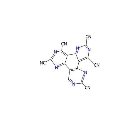 N#Cc1ncc2c(n1)c1c(C#N)nc(C#N)nc1c1c(C#N)nc(C#N)nc21